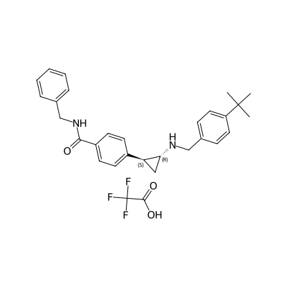 CC(C)(C)c1ccc(CN[C@@H]2C[C@H]2c2ccc(C(=O)NCc3ccccc3)cc2)cc1.O=C(O)C(F)(F)F